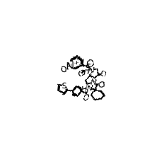 O=C(NC1(C(=O)N2CCC3C2C(=O)CN3S(=O)(=O)c2ccc[n+]([O-])c2)CCCCC1)c1ccc(-c2cccs2)cc1